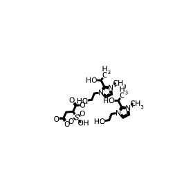 CC(O)c1n(CCO)cc[n+]1C.CC(O)c1n(CCO)cc[n+]1C.O=C([O-])CC(C(=O)[O-])S(=O)(=O)O